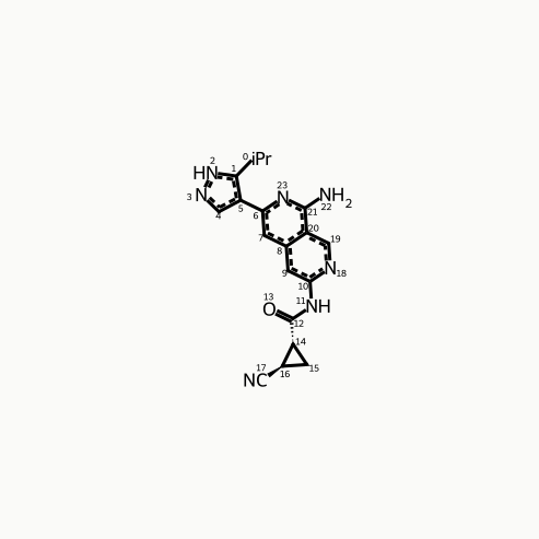 CC(C)c1[nH]ncc1-c1cc2cc(NC(=O)[C@@H]3C[C@H]3C#N)ncc2c(N)n1